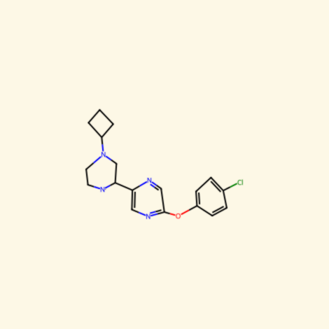 Clc1ccc(Oc2cnc(C3CN(C4CCC4)CC[N]3)cn2)cc1